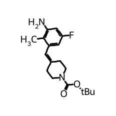 Cc1c(N)cc(F)cc1C=C1CCN(C(=O)OC(C)(C)C)CC1